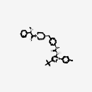 COC(C(=O)N1CCC(Cc2ccc(NC(=O)Nc3cc(C(C)(C)C)nn3-c3ccc(C)cc3)cc2)CC1)c1ccccc1